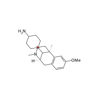 COc1ccc2c(c1)[C@]1(C)CCN(C)[C@H](C2)C1N1CCC(N)CC1